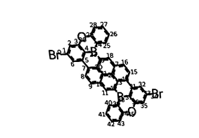 Brc1cc2c3c(c1)-c1ccc4cc5c6c(ccc7cc(c1c4c76)B3c1ccccc1O2)-c1cc(Br)cc2c1B5c1ccccc1O2